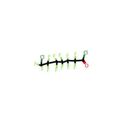 O=C(Cl)C(F)(F)C(F)(F)C(F)(F)C(F)(F)C(F)(F)C(F)(F)Cl